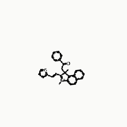 C[N+]1=C(/C=C/c2cccs2)C(C)(CC(=O)c2ccccc2)c2c1ccc1ccccc21